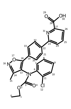 CCOC(=O)N(c1ccccc1Cl)c1c(C)noc1-c1ccc(-c2cccc(C(=O)O)n2)cc1